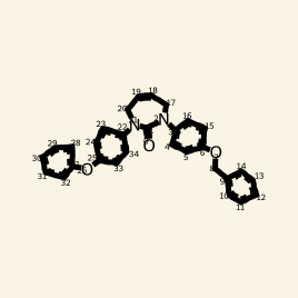 O=C1N(c2ccc(OCc3ccccc3)cc2)CC=CCN1c1ccc(Oc2ccccc2)cc1